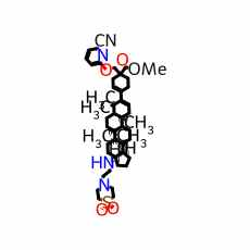 COC(=O)C1(COc2cccc(C#N)n2)CC=C(C2=CC[C@@]3(C)C(CC[C@]4(C)C3CC[C@@H]3[C@H]5CCC[C@]5(NCCN5CCS(=O)(=O)CC5)CC[C@]34C)C2(C)C)CC1